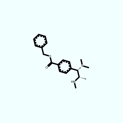 CN[C@@H](C)[C@H](c1ccc(C(=O)OCc2ccccc2)cc1)N(C)C